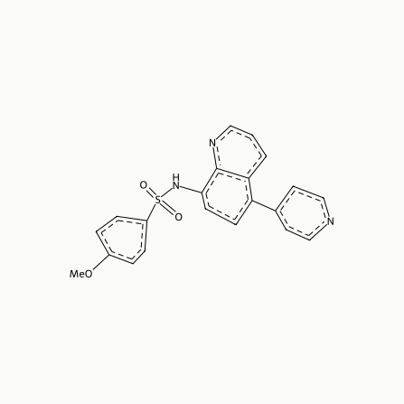 COc1ccc(S(=O)(=O)Nc2ccc(-c3ccncc3)c3cccnc23)cc1